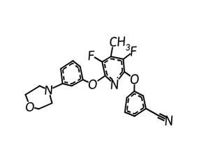 Cc1c(F)c(Oc2cccc(C#N)c2)nc(Oc2cccc(N3CCOCC3)c2)c1F